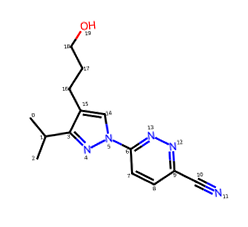 CC(C)c1nn(-c2ccc(C#N)nn2)cc1CCCO